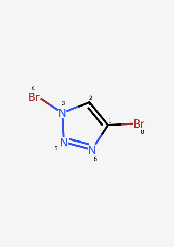 Brc1[c]n(Br)nn1